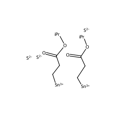 CC(C)OC(=O)C[CH2][Sn+3].CC(C)OC(=O)C[CH2][Sn+3].[S-2].[S-2].[S-2]